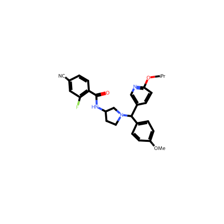 COc1ccc(C(c2ccc(OC(C)C)nc2)N2CCC(NC(=O)c3ccc(C#N)cc3F)C2)cc1